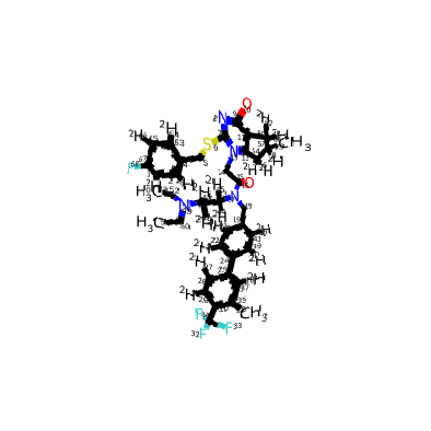 [2H]c1c([2H])c(CSc2nc(=O)c3c(n2CC(=O)N(Cc2c([2H])c([2H])c(-c4c([2H])c([2H])c(C(F)(F)F)c(C)c4[2H])c([2H])c2[2H])C([2H])([2H])C([2H])([2H])N(CC)CC)C([2H])([2H])C([2H])(C)C3([2H])[2H])c([2H])c([2H])c1F